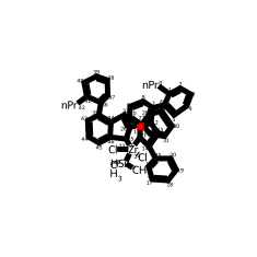 CCCc1ccccc1-c1cccc2c1C=C(c1ccccc1)[CH]2[Zr]([Cl])([Cl])([CH]1C(c2ccccc2)=Cc2c(-c3ccccc3CCC)cccc21)[SiH](C)C